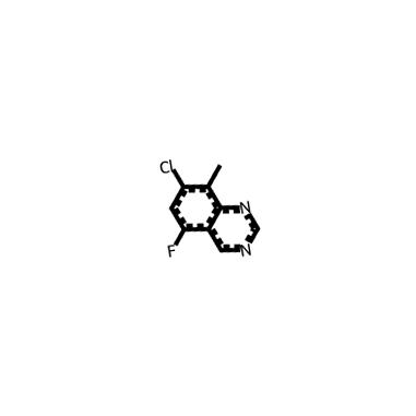 Cc1c(Cl)cc(F)c2cncnc12